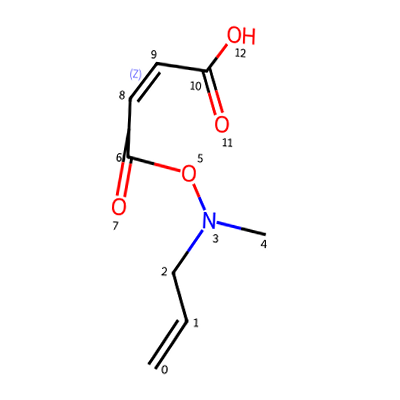 C=CCN(C)OC(=O)/C=C\C(=O)O